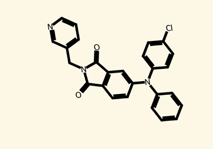 O=C1c2ccc(N(c3ccccc3)c3ccc(Cl)cc3)cc2C(=O)N1Cc1cccnc1